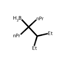 BC(CCC)(CCC)C(CC)CC